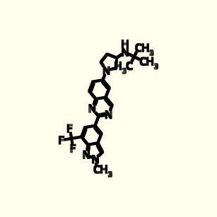 Cn1cc2cc(-c3ncc4cc(N5CCC(NC(C)(C)C)C5)ccc4n3)cc(C(F)(F)F)c2n1